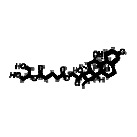 C[C@@H]1C[C@H]2[C@@H]3CCC4=CC(=O)C=C[C@]4(C)[C@@]3(F)[C@@H](O)C[C@]2(C)[C@@]1(O)C(=O)COC(=O)CCCC(=O)OC(CO)CO